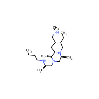 C=C(CN(CC(=C)NCCCC)C(=C)CCCCNC)NCCCC